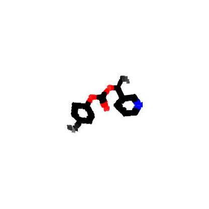 C[C@H](OC(=O)Oc1ccc([N+](=O)[O-])cc1)c1cccnc1